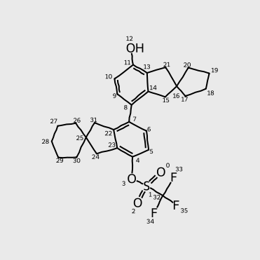 O=S(=O)(Oc1ccc(-c2ccc(O)c3c2CC2(CCCC2)C3)c2c1CC1(CCCCC1)C2)C(F)(F)F